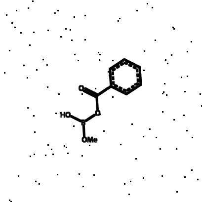 COB(O)OC(=O)c1ccccc1